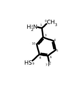 CC(N)c1ccc(F)c(S)c1